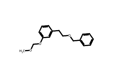 COCOc1cccc(CCOCc2ccccc2)c1